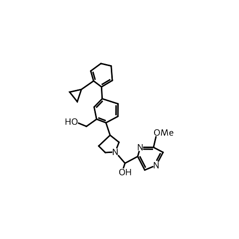 COc1cncc(C(O)N2CCC(c3ccc(C4=CCCC=C4C4CC4)cc3CO)C2)n1